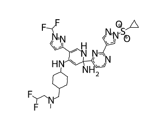 CN(CC(F)F)CC1CCC(NC2=CC(N)(c3ccnc(-c4cnn(S(=O)(=O)C5CC5)c4)n3)NC=C2c2ccn(C(F)F)n2)CC1